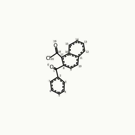 O=C(c1ccccc1)c1ccc2ccccc2c1C(=O)Cl